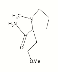 COCCC1(C(N)=O)CCCN1C